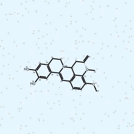 C=CCC1c2c(ccc(OC)c2OC)C=C2c3cc(O)c(O)cc3CCN21